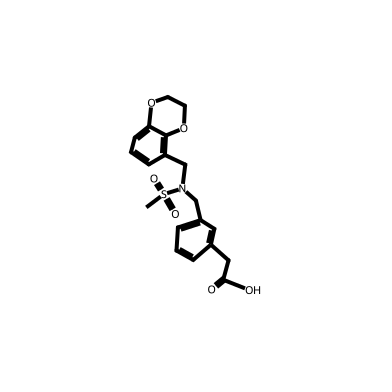 CS(=O)(=O)N(Cc1cccc(CC(=O)O)c1)Cc1cccc2c1OCCO2